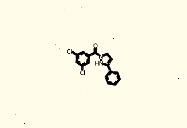 O=C(c1cc(Cl)cc(Cl)c1)N1CC=C(c2ccccc2)N1